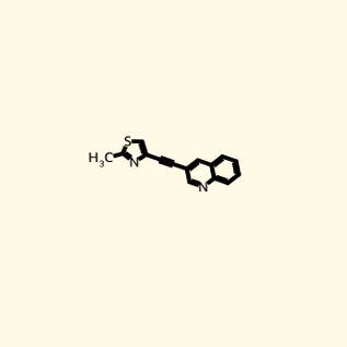 Cc1nc(C#Cc2cnc3ccccc3c2)cs1